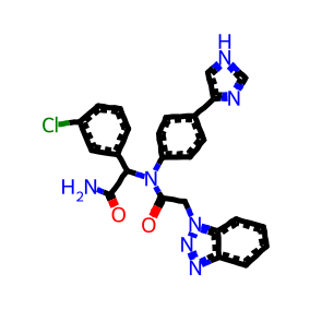 NC(=O)C(c1cccc(Cl)c1)N(C(=O)Cn1nnc2ccccc21)c1ccc(-c2c[nH]cn2)cc1